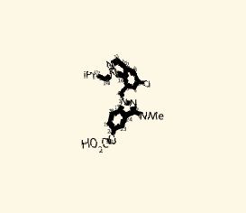 CNc1nn(Cc2cc(Cl)cc3cnn(CC(C)C)c23)c2ccc(OC(=O)O)cc12